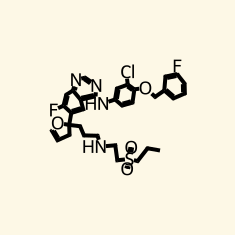 CCCS(=O)(=O)CCNCCCC1(c2cc3c(Nc4ccc(OCc5cccc(F)c5)c(Cl)c4)ncnc3cc2F)CC=CO1